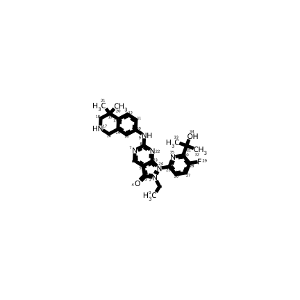 CCn1c(=O)c2cnc(Nc3ccc4c(c3)CNCC4(C)C)nc2n1-c1ccc(F)c(C(C)(C)O)n1